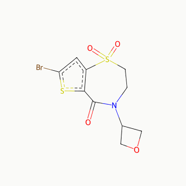 O=C1c2sc(Br)cc2S(=O)(=O)CCN1C1COC1